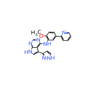 COc1ccc(-c2ccccn2)cc1Nc1ncnc2[nH]cc(-c3cc[nH]n3)c12